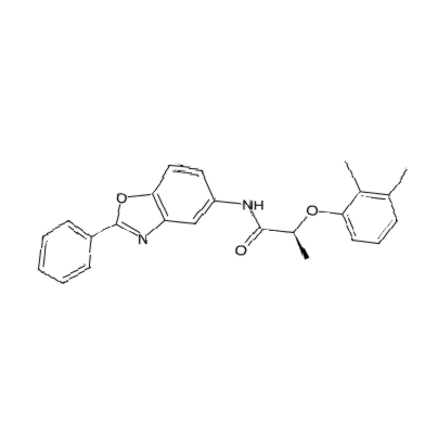 Cc1cccc(O[C@@H](C)C(=O)Nc2ccc3oc(-c4ccccc4)nc3c2)c1C